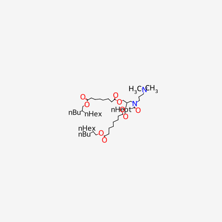 CCCCCCCC(=O)N(CCCN(C)C)CC(COC(=O)CCCCCCC(=O)OCC(CCCC)CCCCCC)COC(=O)CCCCCCC(=O)OCC(CCCC)CCCCCC